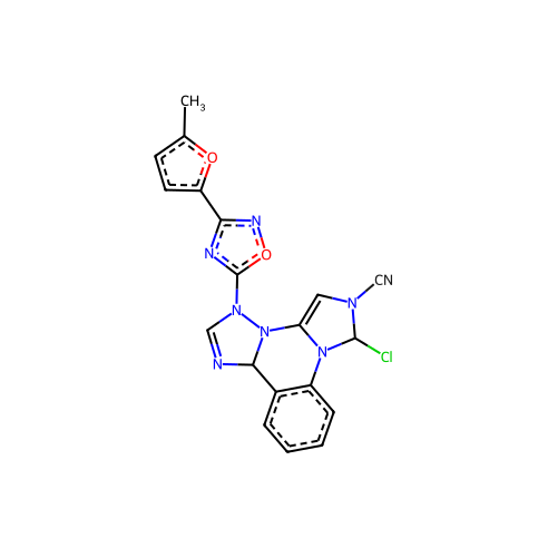 Cc1ccc(-c2noc(N3C=NC4c5ccccc5N5C(=CN(C#N)C5Cl)N43)n2)o1